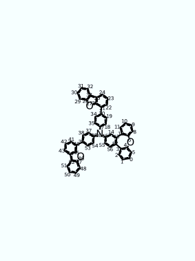 c1ccc2c(c1)Oc1ccccc1-c1cc(N(c3ccc(-c4cccc5c4oc4ccccc45)cc3)c3ccc(-c4cccc5c4oc4ccccc45)cc3)ccc1-2